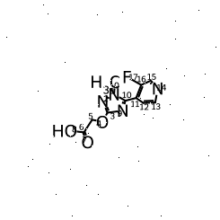 Cn1nc(OCC(=O)O)nc1-c1ccncc1F